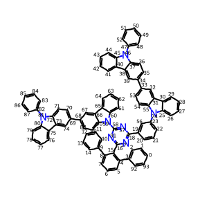 c1ccc(-c2cccc(-c3ccccc3)c2-c2nc(-c3cccc(-n4c5ccccc5c5cc(-c6ccc7c(c6)c6ccccc6n7-c6ccccc6)ccc54)c3)nc(-n3c4ccccc4c4cc(-c5ccc6c(c5)c5ccccc5n6-c5ccccc5)ccc43)n2)cc1